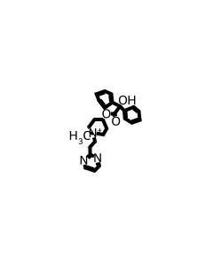 C[N+]1(CCc2ncccn2)CCC(OC(=O)C(O)(c2ccccc2)c2ccccc2)CC1